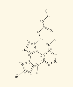 CCOC(=O)CSc1nnc(-c2ccc(Br)o2)n1-c1c(OC)cccc1OC